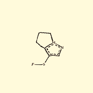 FSc1cnn2c1CCC2